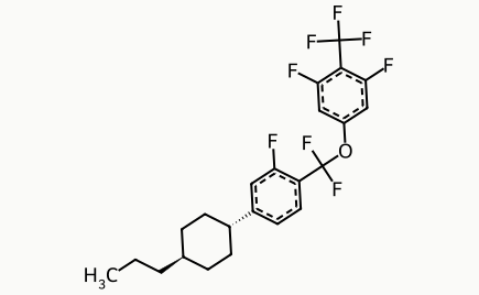 CCC[C@H]1CC[C@H](c2ccc(C(F)(F)Oc3cc(F)c(C(F)(F)F)c(F)c3)c(F)c2)CC1